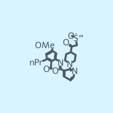 CCCc1cc(OC)cc2nc(-c3cccnc3N3CCC(C(=O)C[S+](C)[O-])CC3)oc(=O)c12